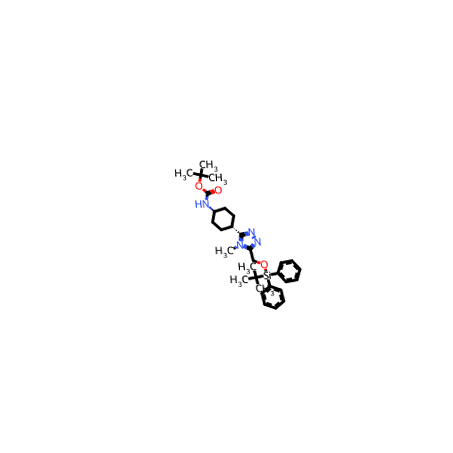 Cn1c(CO[Si](c2ccccc2)(c2ccccc2)C(C)(C)C)nnc1[C@H]1CC[C@H](NC(=O)OC(C)(C)C)CC1